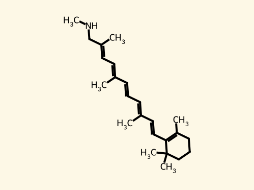 CNC/C(C)=C/C=C(C)/C=C/C=C(C)/C=C/C1=C(C)CCCC1(C)C